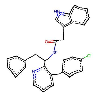 O=C(Cc1c[nH]c2ccccc12)NC(Cc1ccccc1)c1ncccc1-c1ccc(Cl)cc1